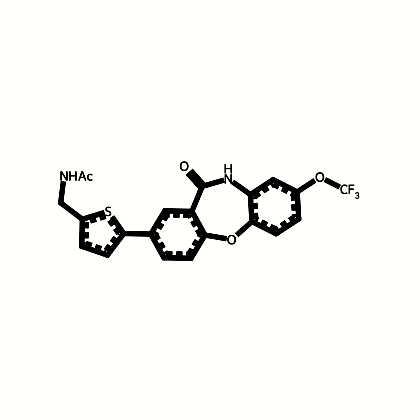 CC(=O)NCc1ccc(-c2ccc3c(c2)C(=O)Nc2cc(OC(F)(F)F)ccc2O3)s1